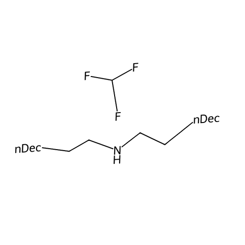 CCCCCCCCCCCCNCCCCCCCCCCCC.FC(F)F